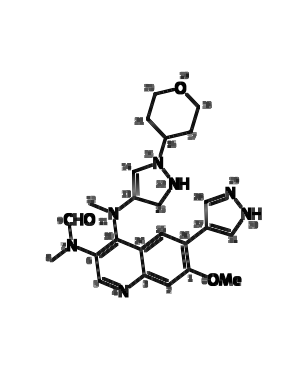 COc1cc2ncc(N(C)C=O)c(N(C)C3=CN(C4CCOCC4)NC3)c2cc1-c1cn[nH]c1